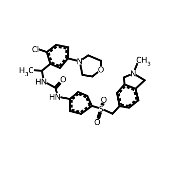 CC(NC(=O)Nc1ccc(S(=O)(=O)Cc2ccc3c(c2)CN(C)C3)cc1)c1cc(N2CCOCC2)ccc1Cl